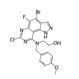 COc1ccc(CN(CCO)c2nc(Cl)nc3c(F)c(Br)c4cn[nH]c4c23)cc1